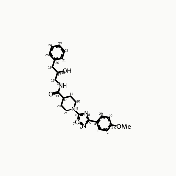 COc1ccc(-c2noc(N3CCC(C(=O)NCC(O)Cc4ccccc4)CC3)n2)cc1